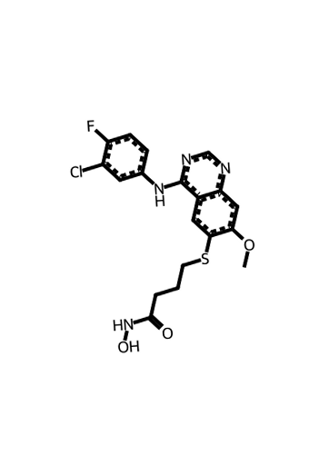 COc1cc2ncnc(Nc3ccc(F)c(Cl)c3)c2cc1SCCCC(=O)NO